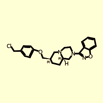 ClCc1ccc(OC[C@@H]2CC[C@@H]3CN(c4noc5ccccc45)CCN3C2)cc1